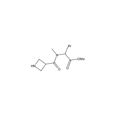 COC(=O)C(C(C)C)N(C)C(=O)C1CNC1